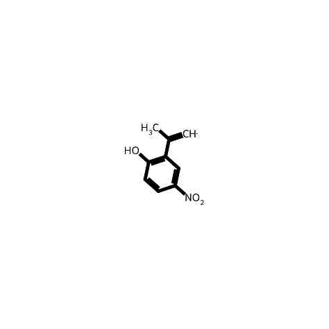 [CH]=C(C)c1cc([N+](=O)[O-])ccc1O